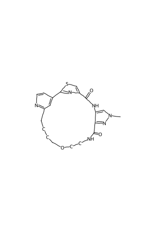 Cn1cc2c(n1)C(=O)NCCOCCCCc1cc(ccn1)-c1nc(cs1)C(=O)N2